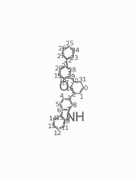 C1=CC(c2ccc3c(c2)[nH]c2ccccc23)=C2Oc3ccc(-c4ccccc4)cc3C2C1